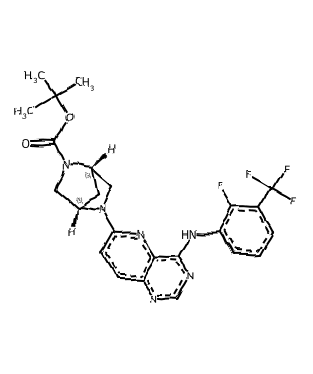 CC(C)(C)OC(=O)N1C[C@@H]2C[C@H]1CN2c1ccc2ncnc(Nc3cccc(C(F)(F)F)c3F)c2n1